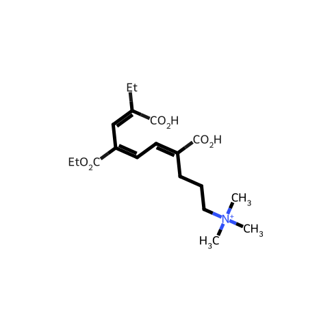 CCOC(=O)C(=CC=C(CCC[N+](C)(C)C)C(=O)O)C=C(CC)C(=O)O